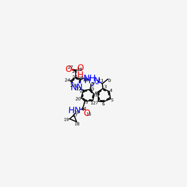 CC(N)c1ccccc1.Cc1ccc(C(=O)NC2CC2)cc1-n1ncc(C(=O)O)c1N